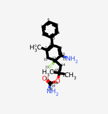 CC1=C(c2ccccc2)C=C(N)C(F)(CC(C)(C)OC(N)=O)C1